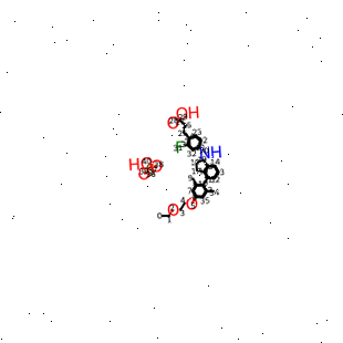 CCOCCOc1cc(C)c(-c2cccc3c2CCC3Nc2ccc(CCC(=O)O)c(F)c2)c(C)c1.CS(=O)(=O)O